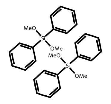 CO[Si](OC)(c1ccccc1)c1ccccc1.CO[Si](OC)(c1ccccc1)c1ccccc1